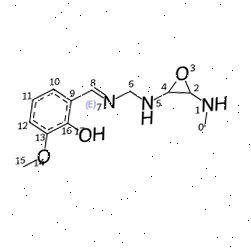 CNC1OC1NC/N=C/c1cccc(OC)c1O